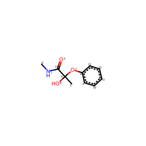 CNC(=O)C(C)(O)Oc1ccccc1